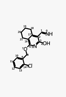 N=Cc1c(O)nc(OCc2ccccc2Cl)c2c1CCCC2